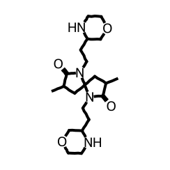 CC1CC2(CC(C)C(=O)N2CCC2COCCN2)N(CCC2COCCN2)C1=O